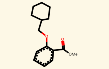 COC(=O)c1ccccc1OCC1CCCCC1